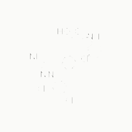 NCC1=NN(c2ccc(Cl)cc2Cl)C(c2ccc(Cl)cc2)C1.O=C(O)c1cc2ccccc2[nH]1